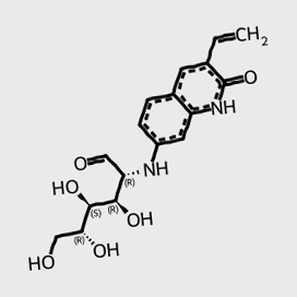 C=Cc1cc2ccc(N[C@@H](C=O)[C@@H](O)[C@H](O)[C@H](O)CO)cc2[nH]c1=O